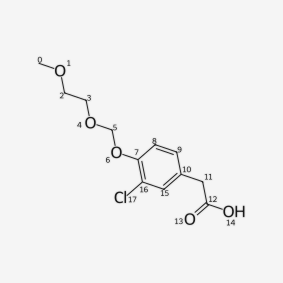 COCCOCOc1ccc(CC(=O)O)cc1Cl